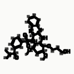 COc1cc(Nc2nc3ccccc3nc2NS(=O)(=O)c2cccc(C(=O)N(C)C)c2)c(OCCCO)c(OC)c1